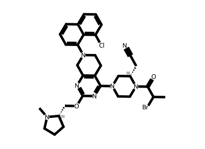 CC(Br)C(=O)N1CCN(c2nc(OC[C@@H]3CCCN3C)nc3c2CCN(c2cccc4cccc(Cl)c24)C3)C[C@@H]1CC#N